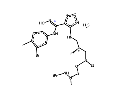 CCN(C[C@@H](F)CNc1nonc1/C(=N/O)Nc1ccc(F)c(Br)c1)OSN(C)NC(C)C.S